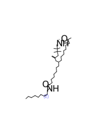 C=C(CC(CCCCCCCC(C)=O)CCCCCCCC(=O)NC/C=C\CCCCCC)CC(C)(C)C(C)(C)CNC